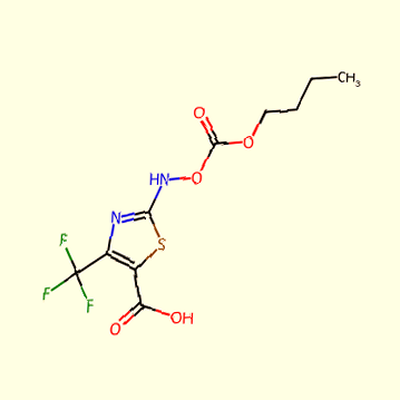 CCCCOC(=O)ONc1nc(C(F)(F)F)c(C(=O)O)s1